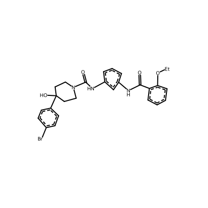 CCOc1ccccc1C(=O)Nc1cccc(NC(=O)N2CCC(O)(c3ccc(Br)cc3)CC2)c1